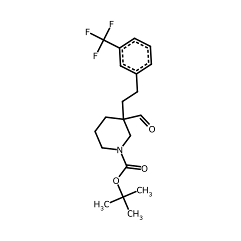 CC(C)(C)OC(=O)N1CCCC(C=O)(CCc2cccc(C(F)(F)F)c2)C1